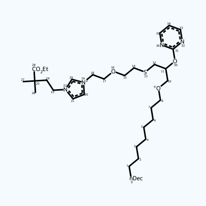 CCCCCCCCCCCCCCCCCCOCC(CSCCOCC[n+]1ccn(CCC(C)(C)C(=O)OCC)c1)Oc1ncccn1